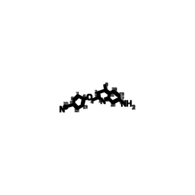 Cc1cc(COc2ccc(C#N)cc2)nc2cc(N)ccc12